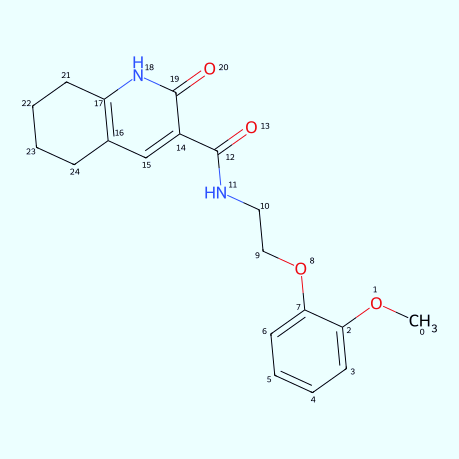 COc1ccccc1OCCNC(=O)c1cc2c([nH]c1=O)CCCC2